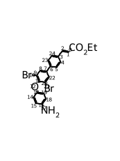 CCOC(=O)C=Cc1ccc(-c2cc(Br)c(Oc3ccc(N)cc3)c(Br)c2)cc1